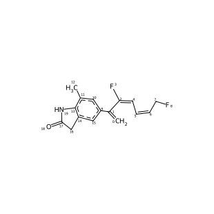 C=C(/C(F)=C\C=C/CF)c1cc(C)c2c(c1)CC(=O)N2